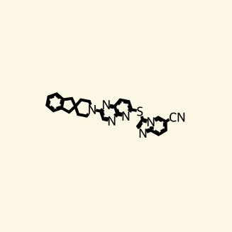 N#Cc1ccc2ncc(Sc3ccc4nc(N5CCC6(CC5)Cc5ccccc5C6)cnc4n3)n2c1